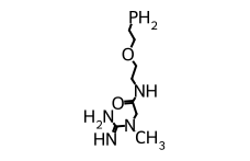 CN(CC(=O)NCCOCCP)C(=N)N